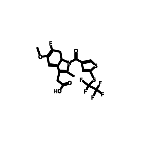 COC1=C(F)CC2C(=C1)C(CC(=O)O)=C(C)N2C(=O)c1csc(SC(F)(F)C(F)(F)F)c1